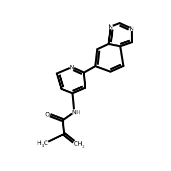 C=C(C)C(=O)Nc1ccnc(-c2ccc3cncnc3c2)c1